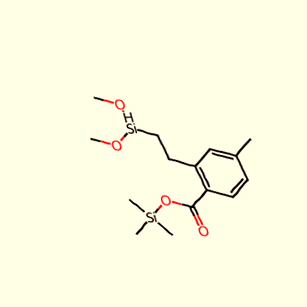 CO[SiH](CCc1cc(C)ccc1C(=O)O[Si](C)(C)C)OC